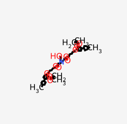 C=C(C)C(=O)Oc1cc(C2CCC(C)CC2)ccc1OCCCCCOC(=O)CCN(CCO)CCC(=O)OCCCCCOc1ccc(C2CCC(C)CC2)cc1OC(=O)C(=C)C